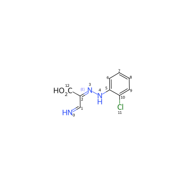 N=C/C(=N\Nc1ccccc1Cl)C(=O)O